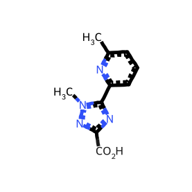 Cc1cccc(-c2nc(C(=O)O)nn2C)n1